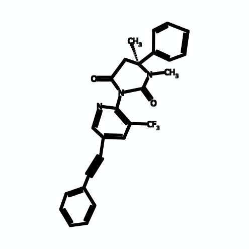 CN1C(=O)N(c2ncc(C#Cc3ccccc3)cc2C(F)(F)F)C(=O)C[C@@]1(C)c1ccccc1